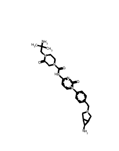 CC(C)(N)CN1CCN(C(=O)Nc2ccn(-c3ccc(CN4CC5C(N)C5C4)cc3)c(=O)n2)CC1=O